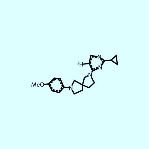 [2H]c1cnc(C2CC2)nc1N1CCC2(CCN(c3ccc(OC)cc3)C2)C1